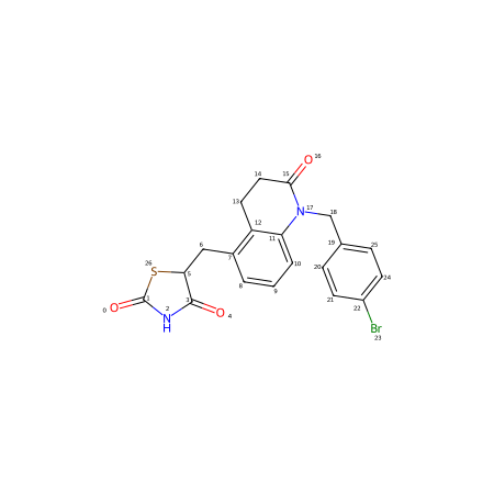 O=C1NC(=O)C(Cc2cccc3c2CCC(=O)N3Cc2ccc(Br)cc2)S1